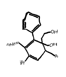 CCCCCCC1=C(c2ccccc2)C(O)(CO)C(C(C)C)C=C1C(C)C